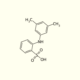 Cc1cc(C)cc(Nc2ccccc2S(=O)(=O)O)c1